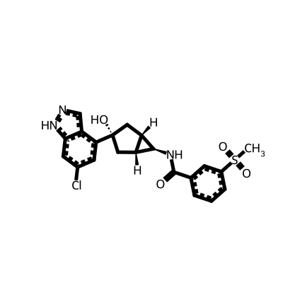 CS(=O)(=O)c1cccc(C(=O)N[C@H]2[C@@H]3C[C@@](O)(c4cc(Cl)cc5[nH]ncc45)C[C@@H]32)c1